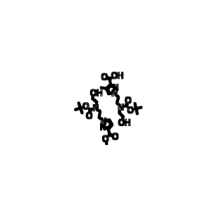 COC(=O)c1ccn(CCN(CCO)C(=O)OC(C)(C)C)n1.Cc1cn(CCN(CCO)C(=O)OC(C)(C)C)nc1C(=O)O